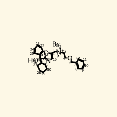 C[N+](C)(CCOCc1ccccc1)Cc1cnc([C@](O)(c2ccccc2)C2CCCCC2)o1.[Br-]